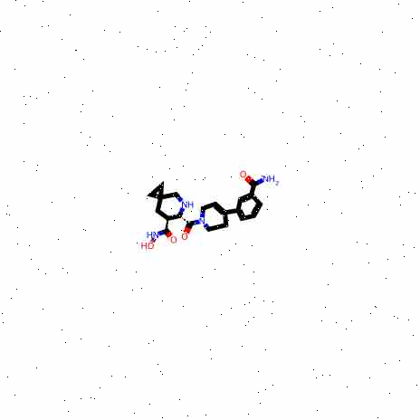 NC(=O)c1cccc(C2=CCN(C(=O)[C@H]3NCC4(CC4)C[C@@H]3C(=O)NO)CC2)c1